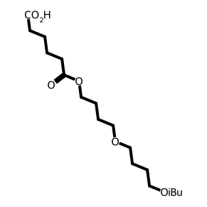 CC(C)COCCCCOCCCCOC(=O)CCCCC(=O)O